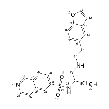 CC(CNCCc1ccc2occc2c1)NS(=O)(=O)c1ccc2cnccc2c1.Cl